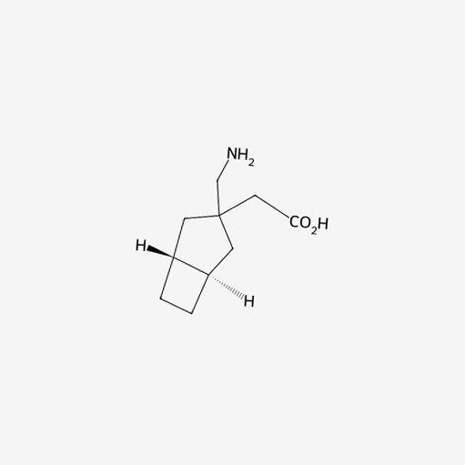 NCC1(CC(=O)O)C[C@H]2CC[C@@H]2C1